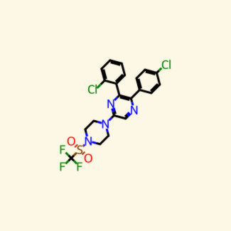 O=S(=O)(N1CCN(c2cnc(-c3ccc(Cl)cc3)c(-c3ccccc3Cl)n2)CC1)C(F)(F)F